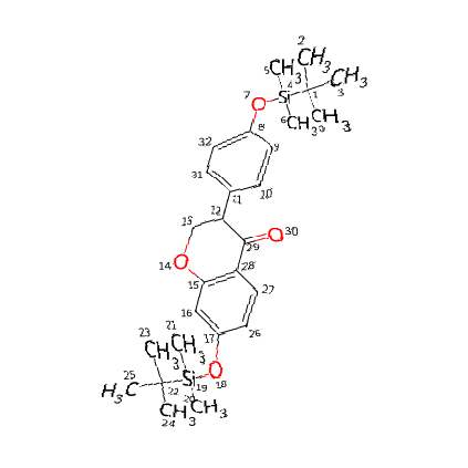 CC(C)(C)[Si](C)(C)Oc1ccc(C2COc3cc(O[Si](C)(C)C(C)(C)C)ccc3C2=O)cc1